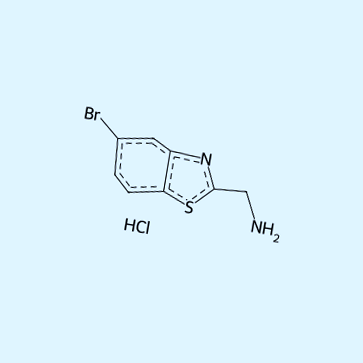 Cl.NCc1nc2cc(Br)ccc2s1